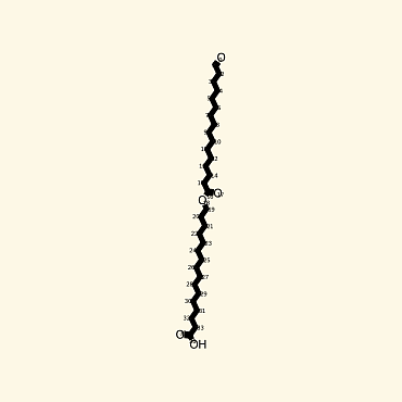 O=CCCCCCCCCCCCCCCC(=O)OCCCCCCCCCCCCCCCC(=O)O